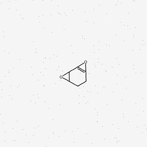 C1CC2OC2C2=C1O2